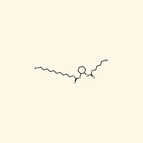 CC(C)CCCCCCCCCCOC(=O)OC1CCCCC1OC(=O)OCCCCC(C)C